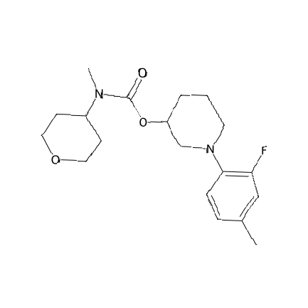 Cc1ccc(N2CCCC(OC(=O)N(C)C3CCOCC3)C2)c(F)c1